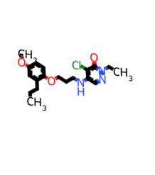 CCCc1cc(OC)ccc1OCCCNc1cnn(CC)c(=O)c1Cl